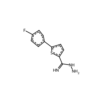 N=C(NN)c1ccc(-c2ccc(F)cc2)s1